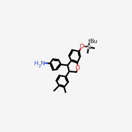 Cc1ccc(C2COc3cc(O[Si](C)(C)C(C)(C)C)ccc3C2c2ccc(N)cc2)cc1C